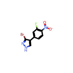 O=[N+]([O-])c1ccc(-c2c[nH]nc2Br)cc1F